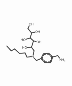 CCCCCCN(Cc1ccc(CN)cc1)CC(O)C(O)C(O)C(O)CO